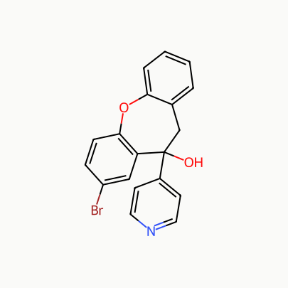 OC1(c2ccncc2)Cc2ccccc2Oc2ccc(Br)cc21